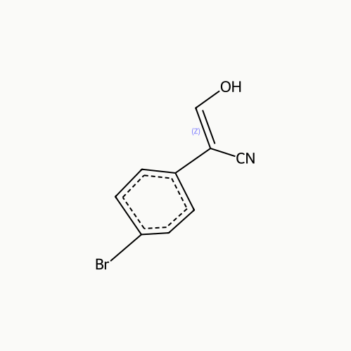 N#C/C(=C\O)c1ccc(Br)cc1